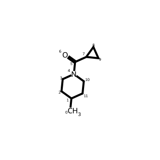 CC1CCN(C(=O)C2CC2)CC1